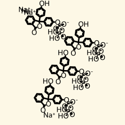 O=C1OC(c2ccc(O)cc2)(c2ccc(OP(=O)([O-])OP(=O)(O)O)cc2)c2ccccc21.O=C1OC(c2ccc(O)cc2)(c2ccc(OP(=O)([O-])OP(=O)(O)O)cc2)c2ccccc21.O=C1OC(c2ccc(O)cc2)(c2ccc(OP(=O)([O-])OP(=O)(O)O)cc2)c2ccccc21.O=C1OC(c2ccc(O)cc2)(c2ccc(OP(=O)([O-])OP(=O)(O)O)cc2)c2ccccc21.[Na+].[Na+].[Na+].[Na+]